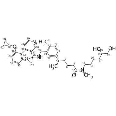 Cc1ccc(C(C)CCCC(=O)N(C)CCCCC(O)CO)cc1CNC1(c2cnccc2-c2ccccc2OC2CC2)CC1